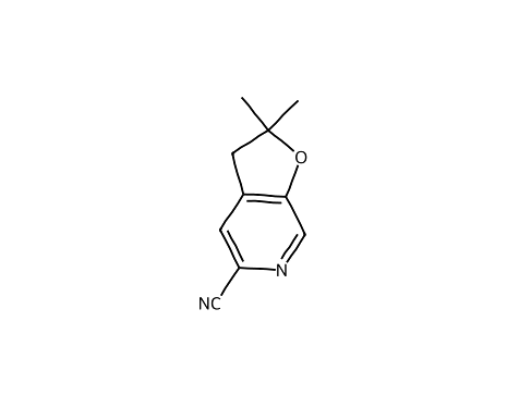 CC1(C)Cc2cc(C#N)ncc2O1